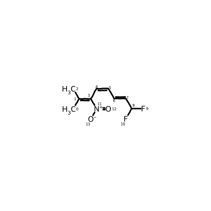 CC(C)=C(/C=C\C=C\C(F)F)[N+](=O)[O-]